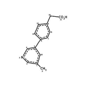 Cc1cncc(-c2ccc(CC(=O)O)cc2)c1